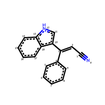 N#CC=C(c1ccccc1)c1c[nH]c2ccccc12